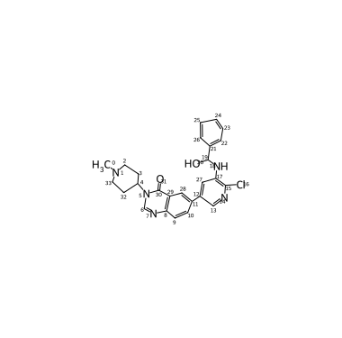 CN1CCC(n2cnc3ccc(-c4cnc(Cl)c(NC(O)c5ccccc5)c4)cc3c2=O)CC1